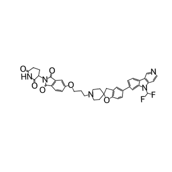 O=C1CCC(N2C(=O)c3ccc(OCCCN4CCC5(CC4)Cc4cc(-c6ccc7c8cnccc8n(C(F)F)c7c6)ccc4O5)cc3C2=O)C(=O)N1